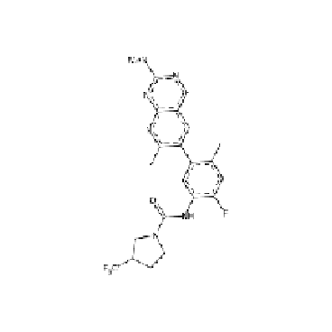 CNc1ncc2cc(-c3cc(NC(=O)N4CCC(C(F)(F)F)C4)c(F)cc3C)c(C)nc2n1